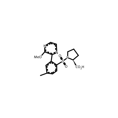 COc1nccnc1-c1cc(C)ccc1S(=O)(=O)N1CCC[C@H]1C(=O)O